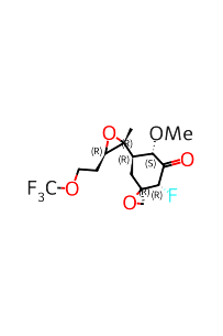 CO[C@@H]1C(=O)[C@H](F)[C@]2(CO2)C[C@H]1[C@@]1(C)O[C@@H]1CCOC(F)(F)F